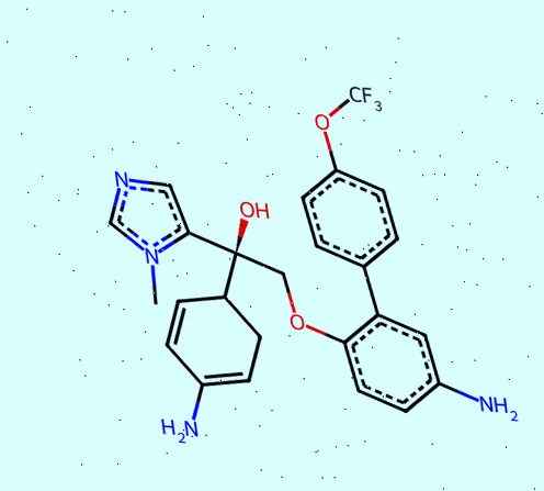 Cn1cncc1[C@](O)(COc1ccc(N)cc1-c1ccc(OC(F)(F)F)cc1)C1C=CC(N)=CC1